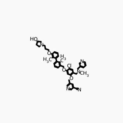 Cc1c(COc2cc(OCc3cncc(C#N)c3)c(CN(C)Cc3cccnc3)cc2Cl)cccc1-c1cccc(OCCCN2CC[C@@H](O)C2)c1C